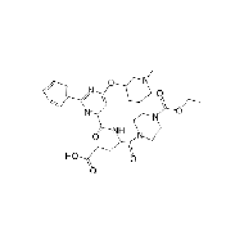 CCOC(=O)N1CCN(C(=O)C(CCC(=O)O)NC(=O)c2cc(OC3CCCN(C)C3)nc(-c3ccccc3)n2)CC1